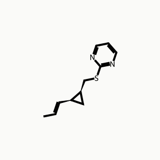 C/C=C/[C@@H]1C[C@@H]1CSc1ncccn1